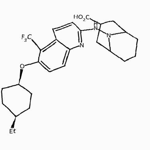 CC[C@H]1CC[C@@H](Oc2ccc3nc(NN4C5CCCC4CC(C(=O)O)C5)ccc3c2C(F)(F)F)CC1